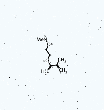 C=C(C)C(=C)OCCONC